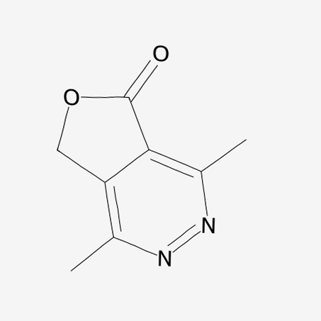 Cc1nnc(C)c2c1COC2=O